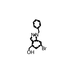 OCc1cc(Br)cc2c1cnn2Cc1ccccc1